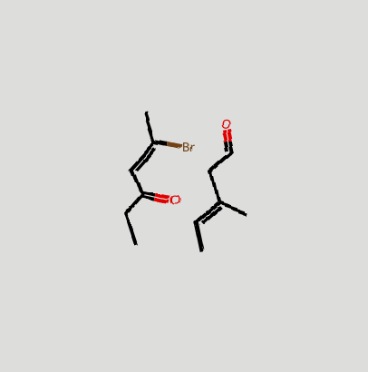 C/C=C(\C)CC=O.CCC(=O)/C=C(/C)Br